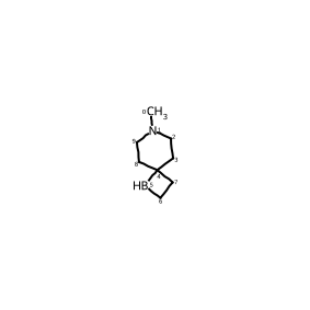 CN1CCC2(BCC2)CC1